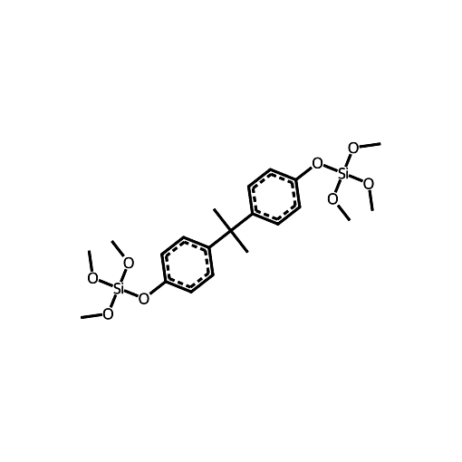 CO[Si](OC)(OC)Oc1ccc(C(C)(C)c2ccc(O[Si](OC)(OC)OC)cc2)cc1